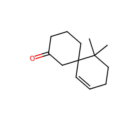 CC1(C)CCC=CC12CCCC(=O)C2